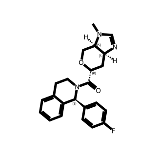 CN1C=N[C@H]2C[C@H](C(=O)N3CCc4ccccc4[C@@H]3c3ccc(F)cc3)OC[C@H]21